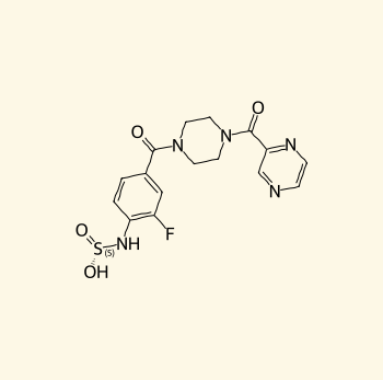 O=C(c1ccc(N[S@@](=O)O)c(F)c1)N1CCN(C(=O)c2cnccn2)CC1